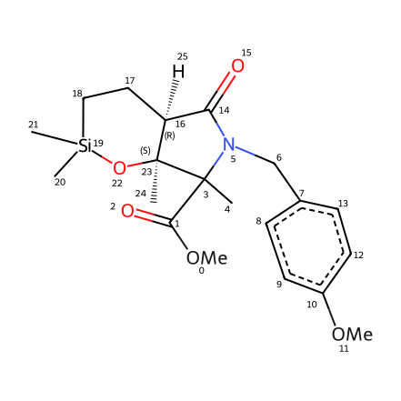 COC(=O)C1(C)N(Cc2ccc(OC)cc2)C(=O)[C@@H]2CC[Si](C)(C)O[C@@]21C